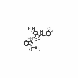 NC(=O)n1cc(NC(=O)N2C[C@@H](N)C[C@H]2C(=O)NCc2ccc(F)c(Cl)c2)c2ccccc21